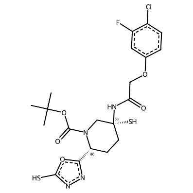 CC(C)(C)OC(=O)N1C[C@@](S)(NC(=O)COc2ccc(Cl)c(F)c2)CC[C@@H]1c1nnc(S)o1